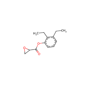 CCc1cccc(OC(=O)C2CO2)c1CC